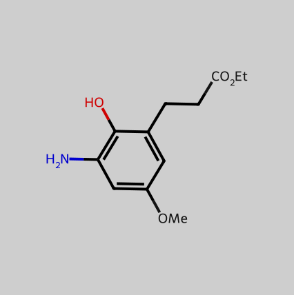 CCOC(=O)CCc1cc(OC)cc(N)c1O